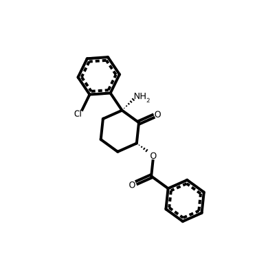 N[C@@]1(c2ccccc2Cl)CCC[C@@H](OC(=O)c2ccccc2)C1=O